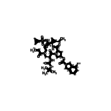 C=CCN(C[C@H](NC(=O)OC(C)(C)C)C(=O)N1C[C@H](OC(=O)N2Cc3cccc(F)c3C2)CC1C(=O)N[C@]1(C(=O)NS(=O)(=O)C2CC2)C[C@H]1CC)C(=O)C=C